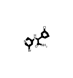 NC(=O)C(Nc1cncc(Br)c1)c1cccc(Cl)c1